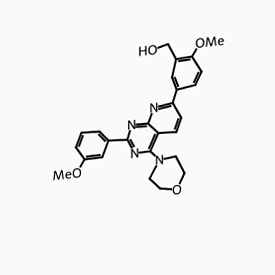 COc1cccc(-c2nc(N3CCOCC3)c3ccc(-c4ccc(OC)c(CO)c4)nc3n2)c1